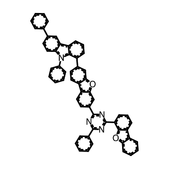 c1ccc(-c2ccc3c(c2)c2cccc(-c4ccc5c(c4)oc4cc(-c6nc(-c7ccccc7)nc(-c7cccc8c7oc7ccccc78)n6)ccc45)c2n3-c2ccccc2)cc1